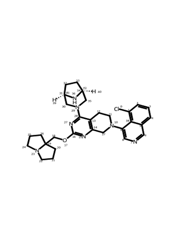 Clc1cccc2cncc(N3CCc4c(nc(OCC56CCCN5CCC6)nc4N4C[C@H]5CC[C@@H](C4)N5)C3)c12